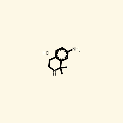 CC1(C)NCCc2ccc(N)cc21.Cl